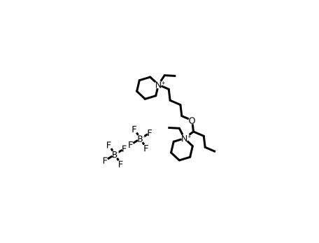 CCCC(OCCCC[N+]1(CC)CCCCC1)[N+]1(CC)CCCCC1.F[B-](F)(F)F.F[B-](F)(F)F